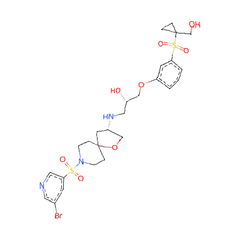 O=S(=O)(c1cncc(Br)c1)N1CCC2(CC1)C[C@H](NC[C@H](O)COc1cccc(S(=O)(=O)C3(CO)CC3)c1)CO2